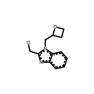 ClCc1nc2ccccc2n1CC1CCO1